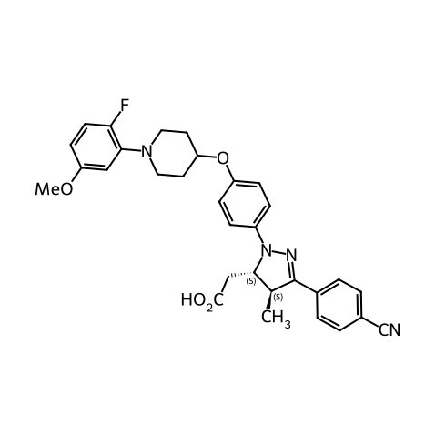 COc1ccc(F)c(N2CCC(Oc3ccc(N4N=C(c5ccc(C#N)cc5)[C@@H](C)[C@@H]4CC(=O)O)cc3)CC2)c1